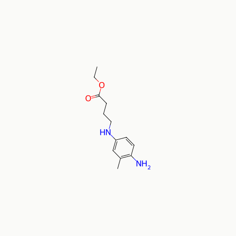 CCOC(=O)CCCNc1ccc(N)c(C)c1